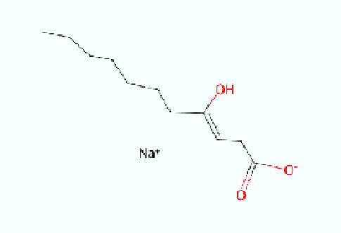 CCCCCCCC(O)=CCC(=O)[O-].[Na+]